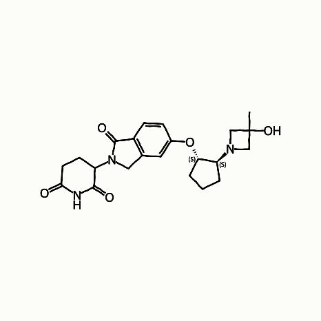 CC1(O)CN([C@H]2CCC[C@@H]2Oc2ccc3c(c2)CN(C2CCC(=O)NC2=O)C3=O)C1